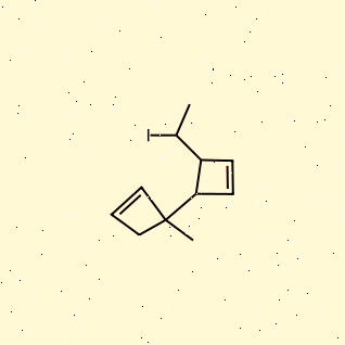 CC(I)C1C=CC1C1(C)C=CC1